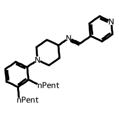 CCCCCc1cccc(N2CCC(N=Cc3ccncc3)CC2)c1CCCCC